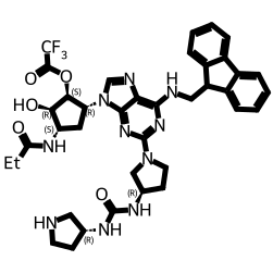 CCC(=O)N[C@H]1C[C@@H](n2cnc3c(NCC4c5ccccc5-c5ccccc54)nc(N4CC[C@@H](NC(=O)N[C@@H]5CCNC5)C4)nc32)[C@H](OC(=O)C(F)(F)F)[C@@H]1O